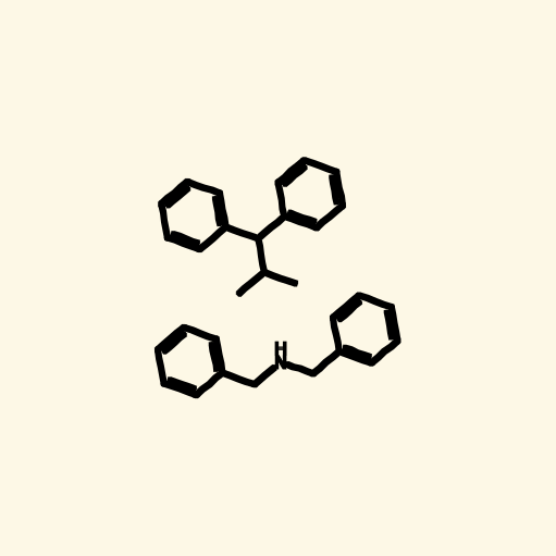 CC(C)C(c1ccccc1)c1ccccc1.c1ccc(CNCc2ccccc2)cc1